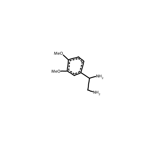 COc1ccc(C(N)CN)cc1OC